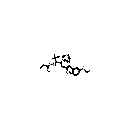 CCOc1ccc2c(c1)CC(CC(C(=NOC(=O)CC)C(C)(C)C)n1cncn1)O2